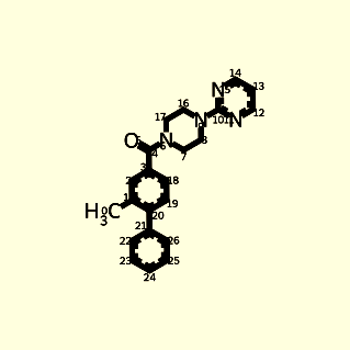 Cc1cc(C(=O)N2CCN(c3ncccn3)CC2)ccc1-c1ccccc1